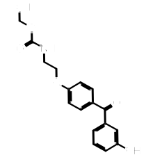 CCOC(=O)NCCOc1ccc(C(=O)c2cccc(C)c2)cc1